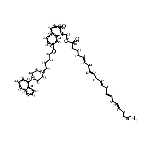 CCCC=CCC=CCC=CCC=CCC=CCCCC(=O)OCn1c(=O)ccc2ccc(OCCCCN3CCN(c4cccc5sccc45)CC3)cc21